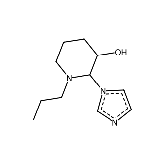 CCCN1CCCC(O)C1n1ccnc1